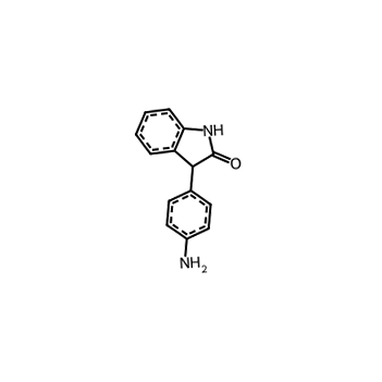 Nc1ccc(C2C(=O)Nc3ccccc32)cc1